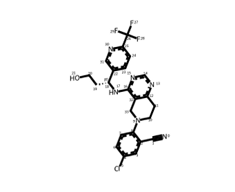 N#Cc1cc(Cl)ccc1N1CCc2ncnc(N[C@H](CCO)c3ccc(C(F)(F)F)nc3)c2C1